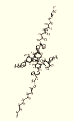 CCCCCCCCCCCCCC(=O)Oc1ccc(S(=O)(=O)c2ccc(OC(=O)CCCCCCCCCCCCC)cc2-c2ccc(O)cc2)c(-c2ccc(O)cc2)c1